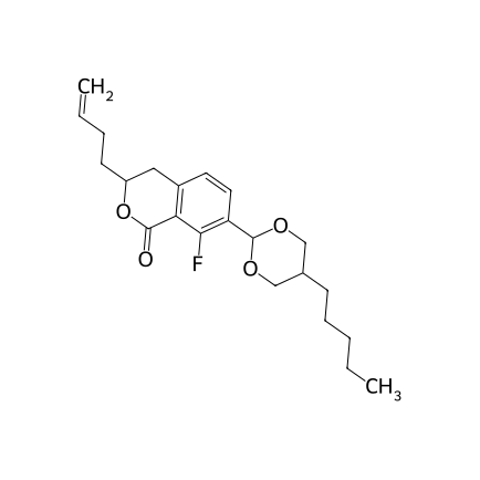 C=CCCC1Cc2ccc(C3OCC(CCCCC)CO3)c(F)c2C(=O)O1